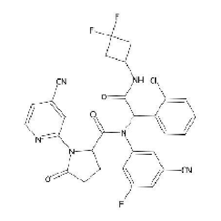 N#Cc1cc(F)cc(N(C(=O)C2CCC(=O)N2c2cc(C#N)ccn2)[C@H](C(=O)NC2CC(F)(F)C2)c2ccccc2Cl)c1